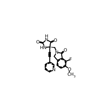 COc1ccc2c(c1F)C(=O)N(C[C@@]1(C#Cc3cccnc3)NC(=O)NC1=O)C2